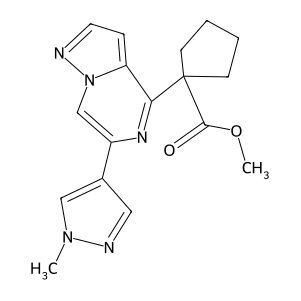 COC(=O)C1(c2nc(-c3cnn(C)c3)cn3nccc23)CCCC1